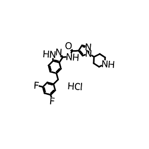 Cl.O=C(Nc1n[nH]c2ccc(Cc3cc(F)cc(F)c3)cc12)c1cnn(C2CCNCC2)c1